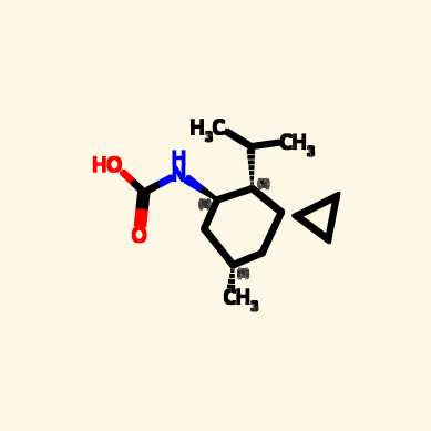 C1CC1.CC(C)[C@@H]1CC[C@H](C)C[C@H]1NC(=O)O